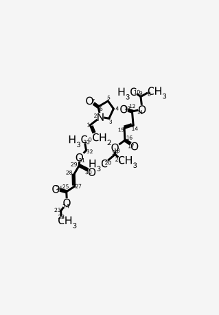 C=CN1CCCC1=O.CC(C)OC(=O)C=CC(=O)OC(C)C.CCOC(=O)C=CC(=O)OCC